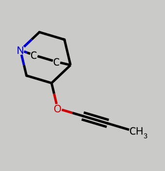 CC#COC1CN2CCC1CC2